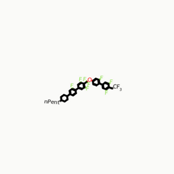 CCCCCC1CCC(c2ccc(-c3cc(F)c(C(F)(F)Oc4ccc(-c5cc(F)c(CC(F)(F)F)c(F)c5)c(F)c4)c(F)c3)c(F)c2)CC1